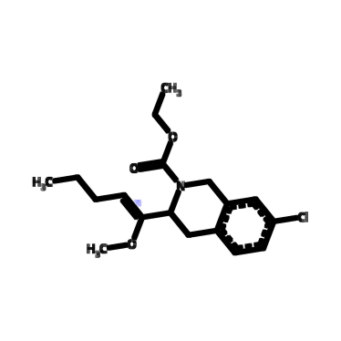 CCC/C=C(\OC)C1Cc2ccc(Cl)cc2CN1C(=O)OCC